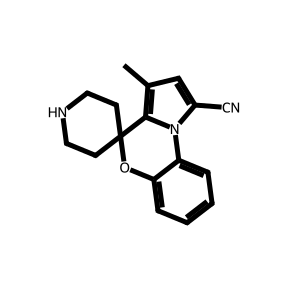 Cc1cc(C#N)n2c1C1(CCNCC1)Oc1ccccc1-2